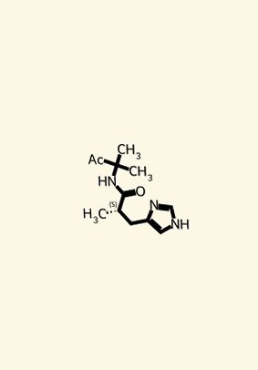 CC(=O)C(C)(C)NC(=O)[C@@H](C)Cc1c[nH]cn1